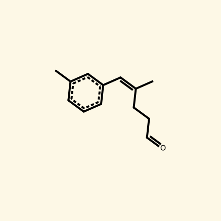 CC(=Cc1cccc(C)c1)CCC=O